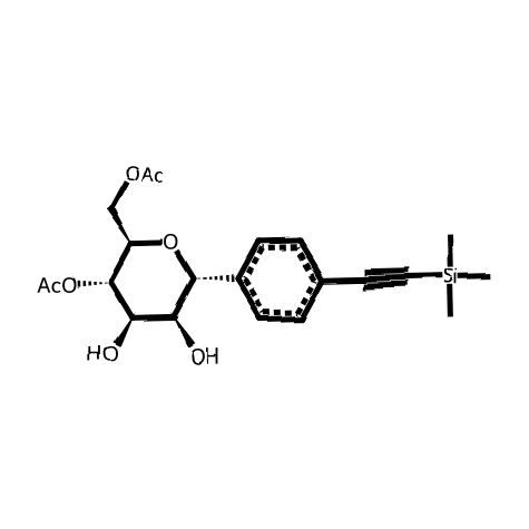 CC(=O)OC[C@H]1O[C@H](c2ccc(C#C[Si](C)(C)C)cc2)[C@@H](O)[C@@H](O)[C@@H]1OC(C)=O